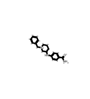 NC(=O)c1ccc(NC2CCCN(Cc3ccccc3)C2)cc1